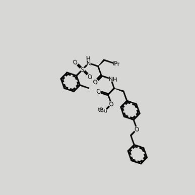 Cc1ccccc1S(=O)(=O)N[C@@H](CC(C)C)C(=O)N[C@@H](Cc1ccc(OCc2ccccc2)cc1)C(=O)OC(C)(C)C